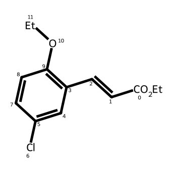 CCOC(=O)C=Cc1cc(Cl)ccc1OCC